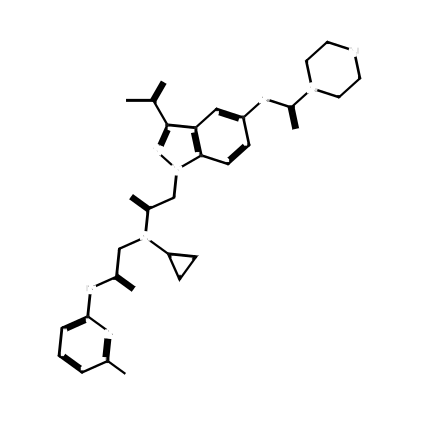 CC(=O)c1nn(CC(=O)N(CC(=O)Nc2cccc(Cl)n2)C2CC2)c2ccc(NC(=O)N3CCNCC3)cc12